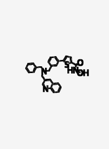 O=C(NO)c1ccc(-c2cccc(CN(Cc3ccccc3)Cc3cnc4ccccc4c3)c2)s1